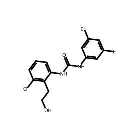 O=C(Nc1cc(F)cc(Cl)c1)Nc1cccc(Cl)c1CCO